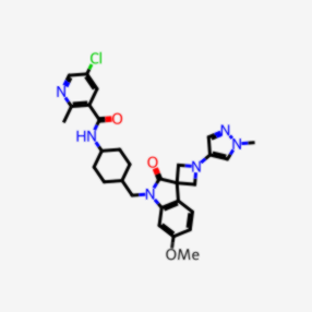 COc1ccc2c(c1)N(CC1CCC(NC(=O)c3cc(Cl)cnc3C)CC1)C(=O)C21CN(c2cnn(C)c2)C1